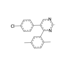 Cc1ccc(C)c(-c2n[c]ncc2-c2ccc(Cl)cc2)c1